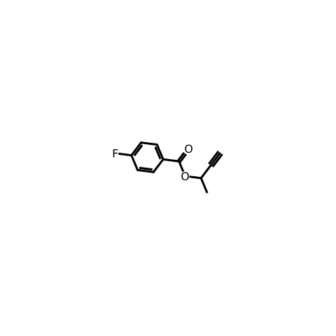 C#CC(C)OC(=O)c1ccc(F)cc1